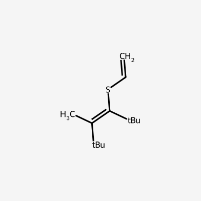 C=CS/C(=C(\C)C(C)(C)C)C(C)(C)C